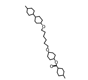 CC1CCC(C(=O)OC2CCC(OCCCCCCOC3CCC(C4CCC(C)CC4)CC3)CC2)CC1